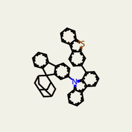 c1ccc2c(c1)-c1ccc(-n3c4ccccc4c4cccc(-c5ccc6c(c5)sc5ccccc56)c43)cc1C21C2CC3CC(C2)CC1C3